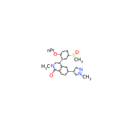 CCCOc1ccc([S+](C)[O-])cc1-c1cn(C)c(=O)c2ccc(-c3cnn(C)c3)cc12